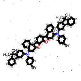 CC(C)c1ccc(N(c2ccc3c(c2)-c2ccccc2C3(C)C)c2cc3oc4c(ccc5c4oc4cc(N(c6ccc(C(C)C)cc6)c6ccc7c(c6)-c6ccccc6C7(C)C)c6ccccc6c45)c3c3ccccc23)cc1